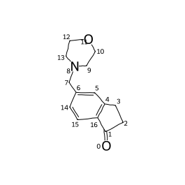 O=C1CCc2cc(CN3CCOCC3)ccc21